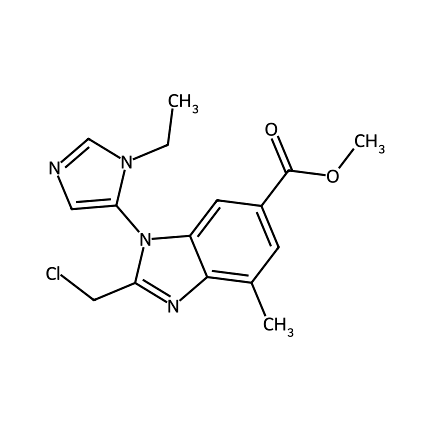 CCn1cncc1-n1c(CCl)nc2c(C)cc(C(=O)OC)cc21